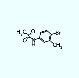 Cc1cc(NS(C)(=O)=O)ccc1Br